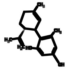 C=C(C)[C@@H]1CCC(C)=CC1c1c(C)cc(O)cc1O